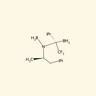 BN([C@H](C)CC(C)C)[C@](B)(C(C)C)C(F)(F)F